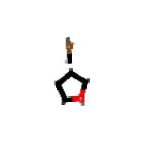 C1CCOC1.CBr